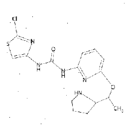 CC(Oc1cccc(NC(=O)Nc2csc(Cl)n2)n1)C1CCCN1